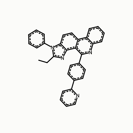 CCc1nc2c3c(-c4ccc(-c5ccccn5)cc4)nc4ccccc4c3ccc2n1-c1ccccc1